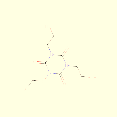 CCOn1c(=O)n(CCO)c(=O)n(CCO)c1=O